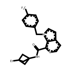 CCC12CC(NC(=O)c3nccc4ccn(Cc5ccc(C(F)(F)F)cc5)c34)(C1)C2